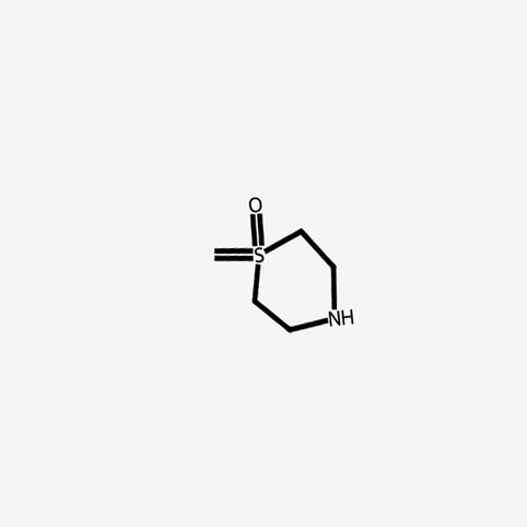 C=S1(=O)CCNCC1